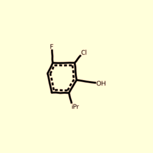 CC(C)c1ccc(F)c(Cl)c1O